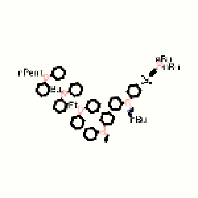 C=CB(C1CCCCC1)C1CCCCC1.CCB(C1CCCCC1)C1CCCCC1.CCCC/C=C/B(C1CCCCC1)C1CCCCC1.CCCCB(C#C[Si](C)(C)C)CCCC.CCCCB(C1CCCCC1)C1CCCCC1.CCCCCB(C1CCCCC1)C1CCCCC1